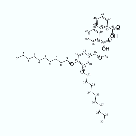 CCCCCCCCCCOc1ccc(COC)cc1OCCCCCCCCCC.O=C(O)c1ccccc1.O=C(O)c1ccccc1